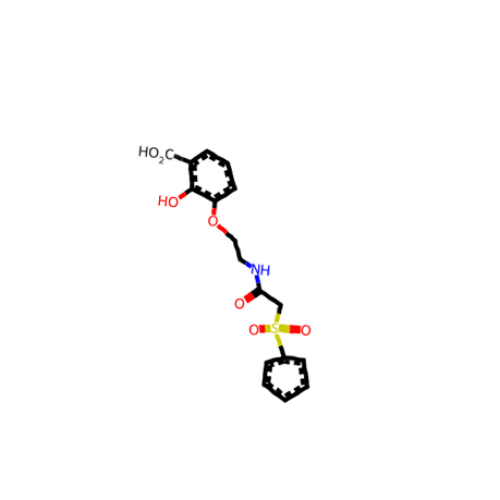 O=C(CS(=O)(=O)c1ccccc1)NCCOc1cccc(C(=O)O)c1O